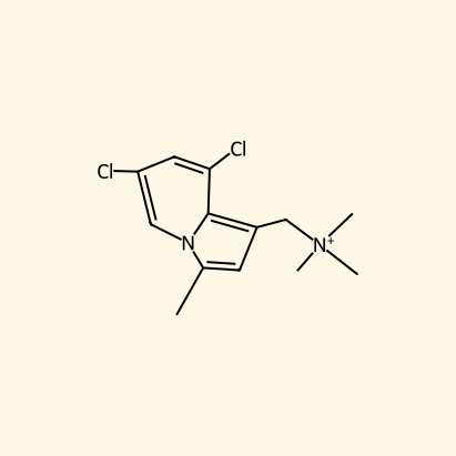 Cc1cc(C[N+](C)(C)C)c2c(Cl)cc(Cl)cn12